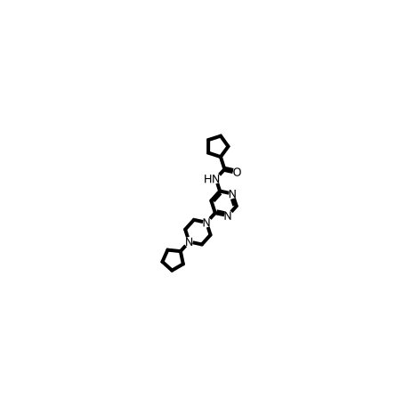 O=C(Nc1cc(N2CCN(C3CCCC3)CC2)ncn1)C1CCCC1